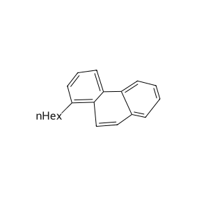 [CH2]CCCCCc1cccc2c1ccc1ccccc12